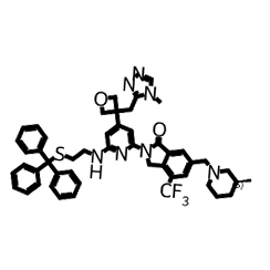 C[C@H]1CCCN(Cc2cc3c(c(C(F)(F)F)c2)CN(c2cc(C4(Cc5nncn5C)COC4)cc(NCCSC(c4ccccc4)(c4ccccc4)c4ccccc4)n2)C3=O)C1